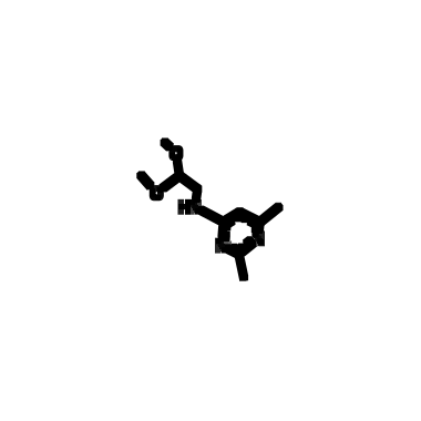 COC(CNc1cc(C)nc(C)n1)OC